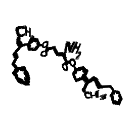 CCC(CCCc1ccccc1)c1ccc(OC(=O)CC[C@H](N)C(=O)Oc2ccc(C(CC)CCCc3ccccc3)cc2)cc1